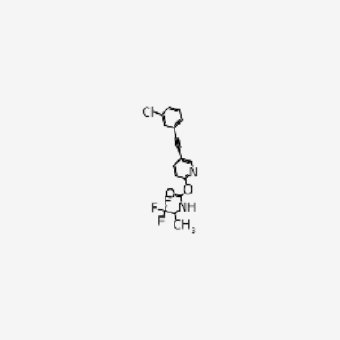 CC(NC(=O)Oc1ccc(C#Cc2cccc(Cl)c2)cn1)C(F)(F)F